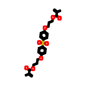 C=C(C)C(=O)OCCCOc1ccc(S(=O)(=O)c2ccc(OCCCOC(=O)C(=C)C)cc2)cc1